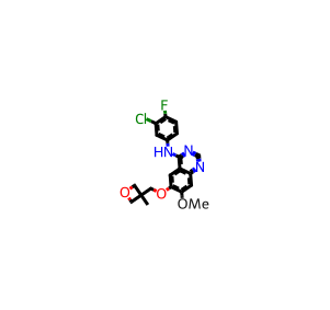 COc1cc2ncnc(Nc3ccc(F)c(Cl)c3)c2cc1OCC1(C)COC1